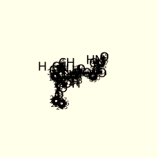 Cc1nn(C)c(C)c1-c1c(Cl)ccc2c(CCCOc3cccc4ccccc34)c(C(=O)O)n(CCN3C[C@@H]4C[C@H]3CN4C(=O)COc3cccc4c3CN(C3CCC(=O)NC3=O)C4=O)c12